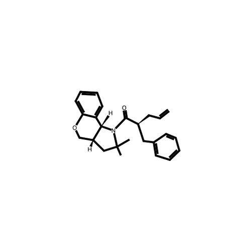 C=CC[C@@H](Cc1ccccc1)C(=O)N1[C@H]2c3ccccc3OC[C@H]2CC1(C)C